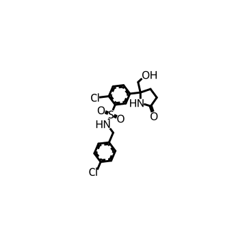 O=C1CCC(CO)(c2ccc(Cl)c(S(=O)(=O)NCc3ccc(Cl)cc3)c2)N1